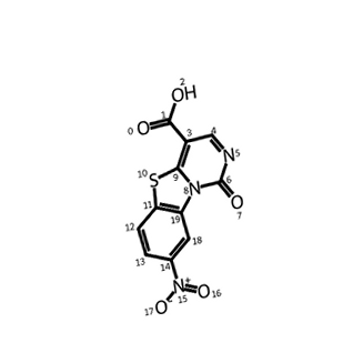 O=C(O)c1cnc(=O)n2c1sc1ccc([N+](=O)[O-])cc12